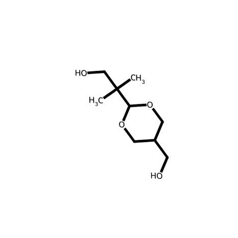 CC(C)(CO)C1OCC(CO)CO1